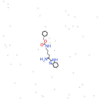 N[C@@H](CCCCNC(=O)OCc1ccccc1)c1nc2ccccc2[nH]1